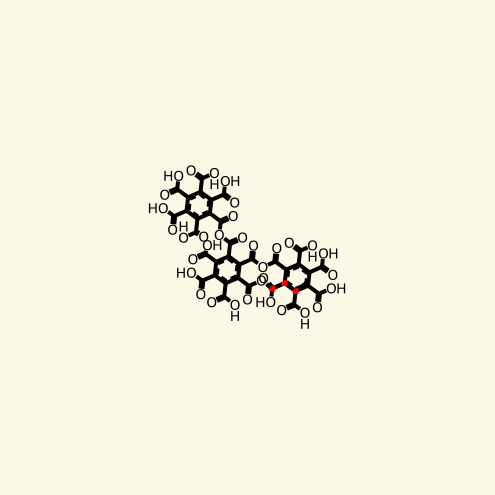 CCCCOC(=O)c1c(C(=O)O)c(C(=O)O)c(C(=O)O)c(C(=O)OC(=O)c2c(C(=O)O)c(C(=O)O)c(C(=O)O)c(C(=O)O)c2C(=O)O)c1C(=O)OC(=O)c1c(C(=O)O)c(C(=O)O)c(C(=O)O)c(C(=O)O)c1C(=O)O